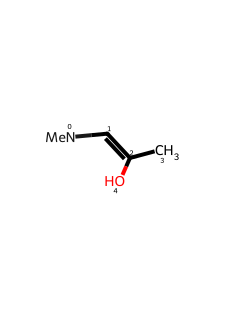 CN/C=C(/C)O